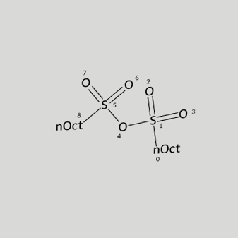 CCCCCCCCS(=O)(=O)OS(=O)(=O)CCCCCCCC